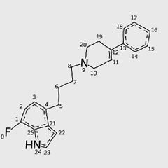 Fc1ccc(CCCCN2CC=C(c3ccccc3)CC2)c2cc[nH]c12